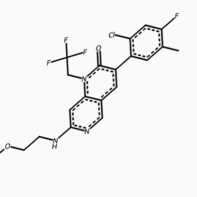 COCCNc1cc2c(cn1)cc(-c1cc(C)c(F)cc1Cl)c(=O)n2CC(F)(F)F